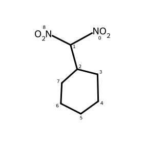 O=[N+]([O-])C(C1CCCCC1)[N+](=O)[O-]